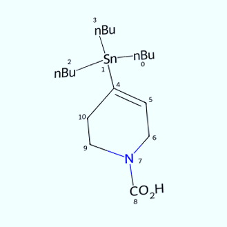 CCC[CH2][Sn]([CH2]CCC)([CH2]CCC)[C]1=CCN(C(=O)O)CC1